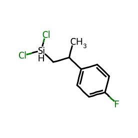 CC(C[SiH](Cl)Cl)c1ccc(F)cc1